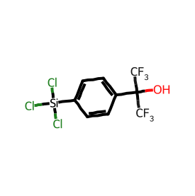 OC(c1ccc([Si](Cl)(Cl)Cl)cc1)(C(F)(F)F)C(F)(F)F